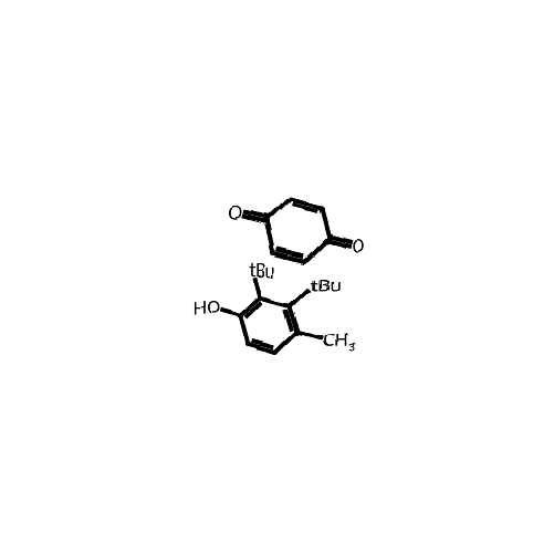 Cc1ccc(O)c(C(C)(C)C)c1C(C)(C)C.O=C1C=CC(=O)C=C1